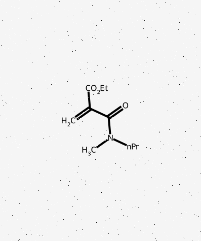 C=C(C(=O)OCC)C(=O)N(C)CCC